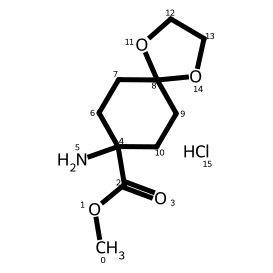 COC(=O)C1(N)CCC2(CC1)OCCO2.Cl